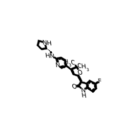 CC1(C)O/C(=C2/C(=O)Nc3ccc(F)cc32)C=C1c1ccc(NC[C@@H]2CCCN2)nc1